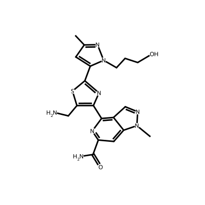 Cc1cc(-c2nc(-c3nc(C(N)=O)cc4c3cnn4C)c(CN)s2)n(CCCO)n1